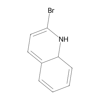 BrC1=CC=C2C=CC=CC2N1